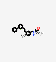 CC(CO)(NCc1ccc(C(F)(F)F)c(C=Cc2cccc(-c3ccccc3)c2F)c1)C(=O)O